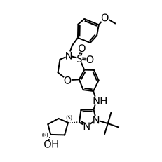 COc1ccc(CN2CCOc3cc(Nc4cc([C@H]5CC[C@@H](O)C5)nn4C(C)(C)C)ccc3S2(=O)=O)cc1